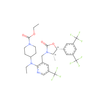 CCOC(=O)N1CCC(N(CC)c2ncc(C(F)(F)F)cc2CN2C(=O)O[C@H](c3cc(C(F)(F)F)cc(C(F)(F)F)c3)[C@@H]2C)CC1